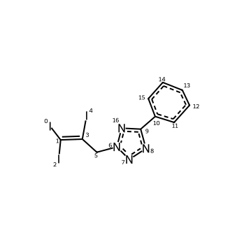 IC(I)=C(I)Cn1nnc(-c2ccccc2)n1